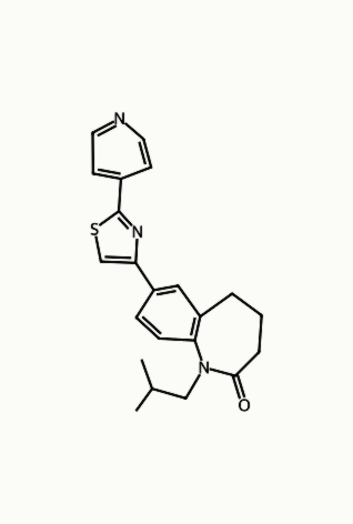 CC(C)CN1C(=O)CCCc2cc(-c3csc(-c4ccncc4)n3)ccc21